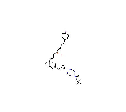 C=C(/C=C\C(C)(/C=C/CC(=O)/C=C/CCc1ccc(I)cc1)CC)CC1C[C@H]1N1CCN(C(=C)CC(C)(C)C)[C@H](C)C1